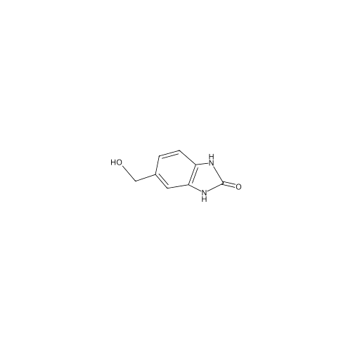 O=c1[nH]c2ccc(CO)cc2[nH]1